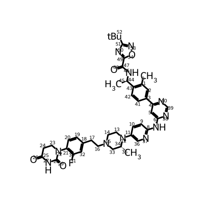 Cc1cc(-c2cc(Nc3ccc(N4CCN(CCc5ccc(N6CCC(=O)NC6=O)c(F)c5)C[C@H]4C)cn3)ncn2)ccc1[C@@H](C)NC(=O)c1nc(C(C)(C)C)no1